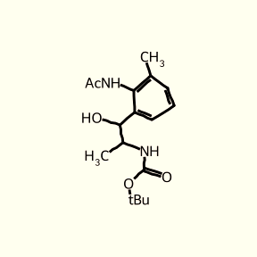 CC(=O)Nc1c(C)cccc1C(O)C(C)NC(=O)OC(C)(C)C